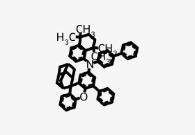 CC1(C)CCC(C)(C)c2c(N(c3ccc(-c4ccccc4)cc3)c3cc(-c4ccccc4)c4c(c3)C3(c5ccccc5O4)C4CC5CC(C4)CC3C5)cccc21